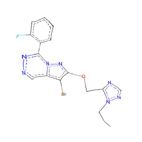 CCn1ncnc1COc1nn2c(-c3ccccc3F)nncc2c1Br